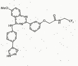 COc1ccc2nc(-c3cccc(OCC(=O)NCC(F)(F)F)c3)nc(Nc3ccc(-c4cn[nH]c4)cc3)c2c1